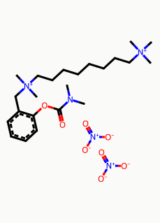 CN(C)C(=O)Oc1ccccc1C[N+](C)(C)CCCCCCCC[N+](C)(C)C.O=[N+]([O-])[O-].O=[N+]([O-])[O-]